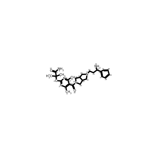 Cc1nc(OC(C)(C)C(N)=O)nc(C)c1C(=O)N1CC2CN(CCC(N)c3ccccc3)CC2C1